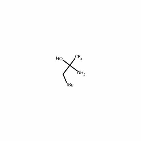 CC(C)(C)CC(N)(O)C(F)(F)F